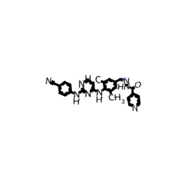 Cc1cc(/C=N\NC(=O)c2ccncc2)cc(C)c1Nc1ccnc(Nc2ccc(C#N)cc2)n1